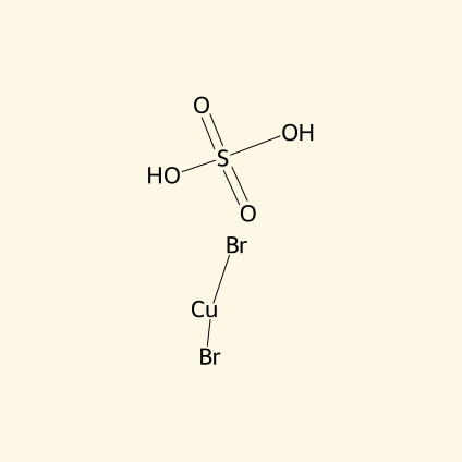 O=S(=O)(O)O.[Br][Cu][Br]